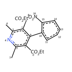 CCOC(=O)c1c(C)nc(C)c(C(=O)OCC)c1-c1ccccc1[N+](=O)[O-]